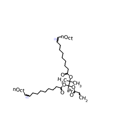 C=CC(=O)OC(OC(=O)CCCCCCC/C=C\CCCCCCCC)(C(C)C)C(C)(C)OC(=O)CCCCCCC/C=C\CCCCCCCC